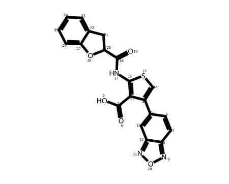 O=C(O)c1c(-c2ccc3nonc3c2)csc1NC(=O)C1Cc2ccccc2O1